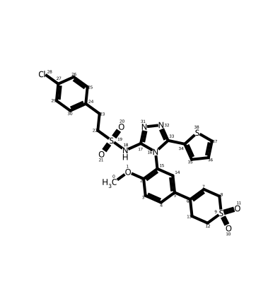 COc1ccc(C2=CCS(=O)(=O)CC2)cc1-n1c(NS(=O)(=O)CCc2ccc(Cl)cc2)nnc1-c1cccs1